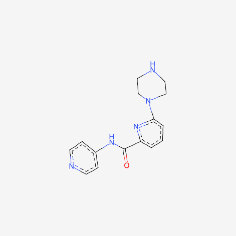 O=C(Nc1ccncc1)c1cccc(N2CCNCC2)n1